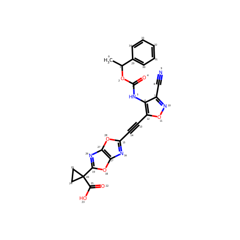 CC(OC(=O)Nc1c(C#N)noc1C#Cc1nc2oc(C3(C(=O)O)CC3)nc2o1)c1ccccc1